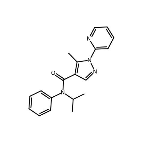 Cc1c(C(=O)N(c2ccccc2)C(C)C)cnn1-c1ccccn1